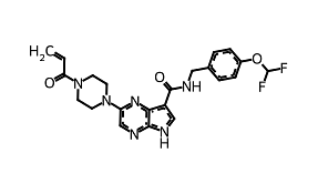 C=CC(=O)N1CCN(c2cnc3[nH]cc(C(=O)NCc4ccc(OC(F)F)cc4)c3n2)CC1